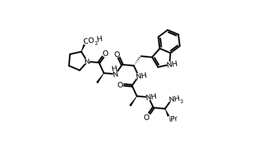 CC(C)[C@H](N)C(=O)N[C@@H](C)C(=O)N[C@@H](Cc1c[nH]c2ccccc12)C(=O)N[C@@H](C)C(=O)N1CCC[C@H]1C(=O)O